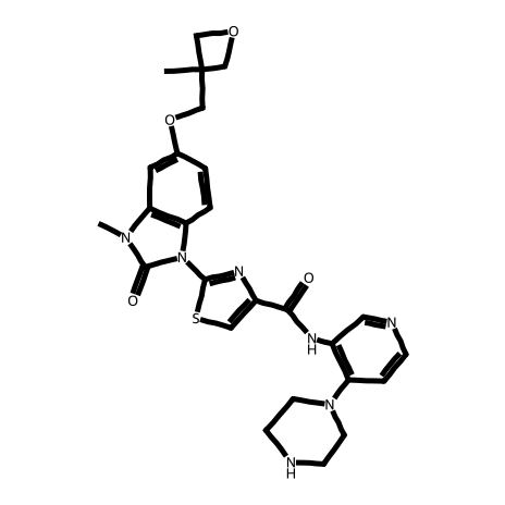 Cn1c(=O)n(-c2nc(C(=O)Nc3cnccc3N3CCNCC3)cs2)c2ccc(OCC3(C)COC3)cc21